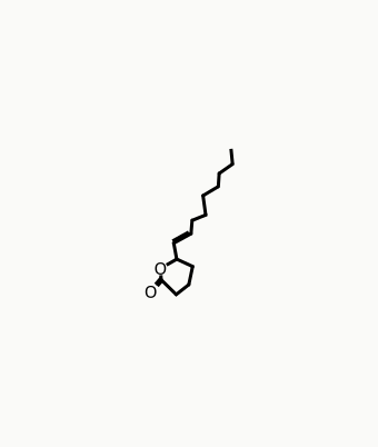 CCCCCCC/C=C/C1CCCC(=O)O1